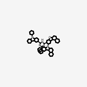 c1ccc(C2=NC(c3cc4oc5ccc6ccccc6c5c4cc3-n3c4cc5ccccc5cc4c4c5ccccc5ccc43)NC(c3ccc4c(c3)c3ccccc3n4-c3ccccc3)=N2)cc1